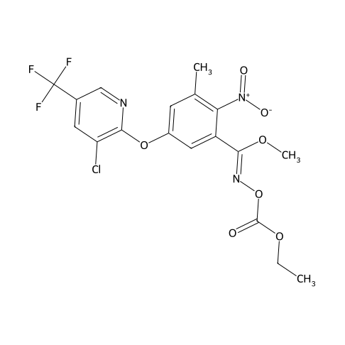 CCOC(=O)ON=C(OC)c1cc(Oc2ncc(C(F)(F)F)cc2Cl)cc(C)c1[N+](=O)[O-]